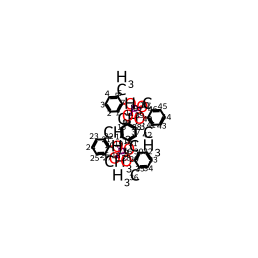 Cc1cccc(C)c1OP(=O)(Oc1ccc(OP(=O)(Oc2c(C)cccc2C)Oc2c(C)cccc2C)cc1)Oc1c(C)cccc1C